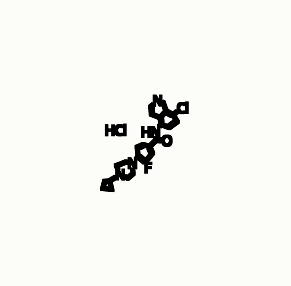 Cl.O=C(Nc1ccc(Cl)c2cnccc12)c1ccc(N2CCN(C3CCC3)CC2)c(F)c1